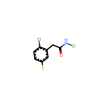 O=C(Cc1cc(F)ccc1Cl)NCl